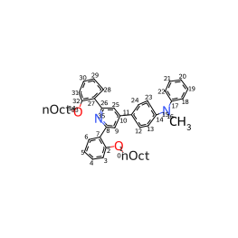 CCCCCCCCOc1ccccc1-c1cc(-c2ccc(N(C)c3ccccc3)cc2)cc(-c2ccccc2OCCCCCCCC)n1